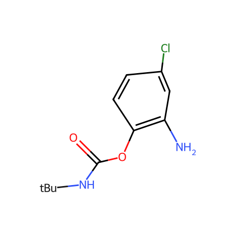 CC(C)(C)NC(=O)Oc1ccc(Cl)cc1N